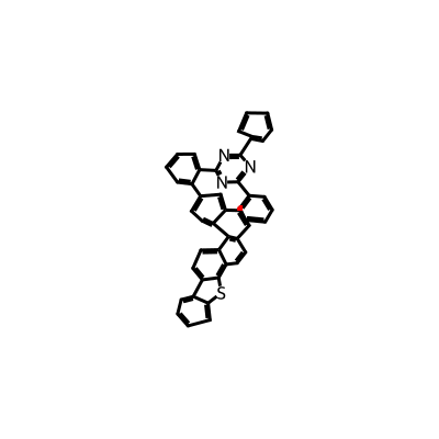 c1ccc(-c2nc(-c3ccccc3)nc(-c3ccccc3-c3ccc4c(ccc5ccc6c(ccc7c8ccccc8sc76)c54)c3)n2)cc1